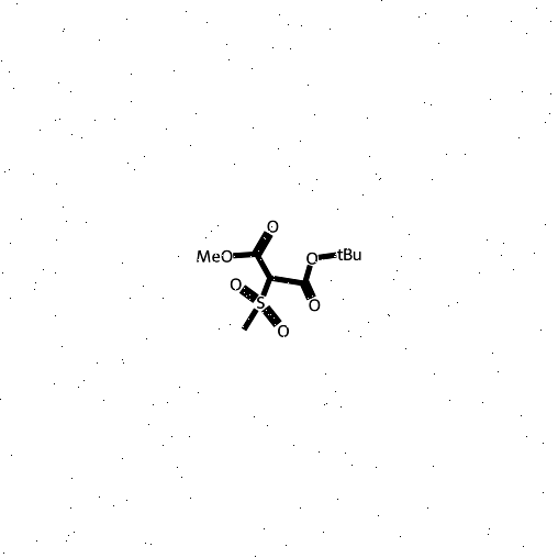 COC(=O)C(C(=O)OC(C)(C)C)S(C)(=O)=O